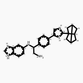 NCC(Nc1ccc2[nH]cnc2c1)c1ccc(-c2cnc(C34CC5CC3CC5C4)s2)cc1